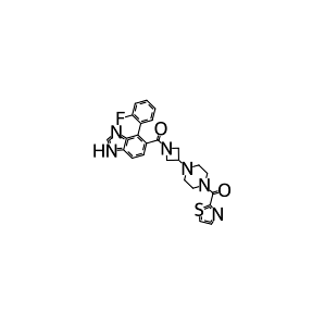 O=C(c1nccs1)N1CCN(C2CN(C(=O)c3ccc4[nH]cnc4c3-c3ccccc3F)C2)CC1